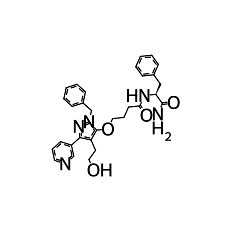 NC(=O)[C@H](Cc1ccccc1)NC(=O)CCCOc1c(CCO)c(-c2cccnc2)nn1Cc1ccccc1